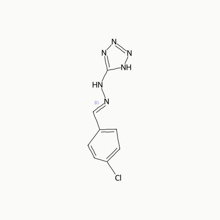 Clc1ccc(/C=N/Nc2nnn[nH]2)cc1